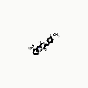 COc1ccc(/C=c2\[nH]c(=O)/c(=C/c3ccccc3[N+](=O)[O-])n(C)c2=O)cc1